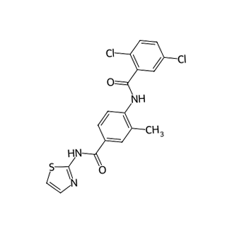 Cc1cc(C(=O)Nc2nccs2)ccc1NC(=O)c1cc(Cl)ccc1Cl